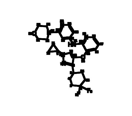 FC1(F)CCC(c2nn(C3CC3)cc2Oc2cccnc2Nc2ccnc(N3CCOCC3)c2)CC1